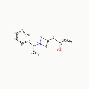 COC(=O)CC1CN(C(C)c2ccccc2)C1